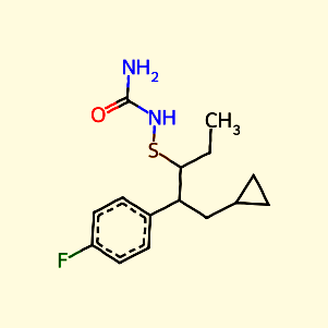 CCC(SNC(N)=O)C(CC1CC1)c1ccc(F)cc1